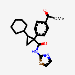 COC(=O)c1ccc(C2(C(=O)Nc3nccs3)CC2C2CCCCC2)cc1